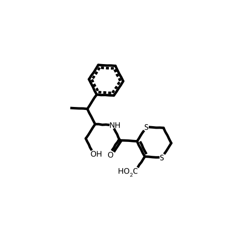 CC(c1ccccc1)C(CO)NC(=O)C1=C(C(=O)O)SCCS1